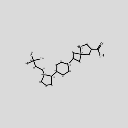 O=C(O)C1CNC2(C1)CC(N1CCC(C3CCCN3CCC(F)(F)F)CC1)C2